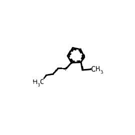 CCCC[CH]c1ccccc1CC